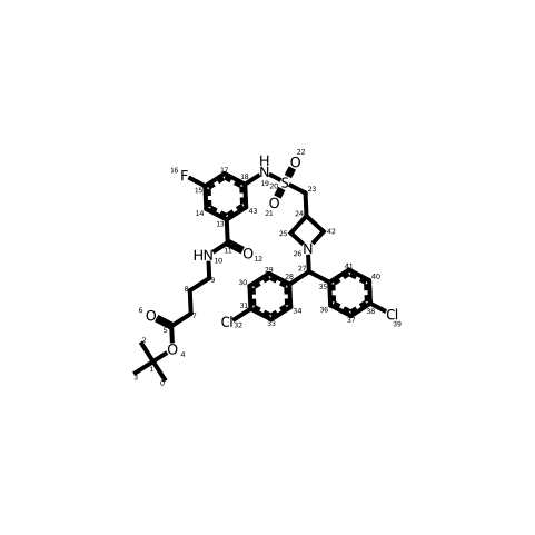 CC(C)(C)OC(=O)CCCNC(=O)c1cc(F)cc(NS(=O)(=O)CC2CN(C(c3ccc(Cl)cc3)c3ccc(Cl)cc3)C2)c1